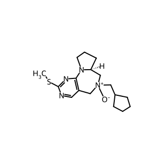 CSc1ncc2c(n1)N1CCC[C@H]1C[N+]([O-])(CC1CCCC1)C2